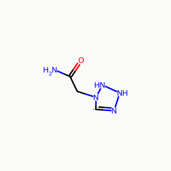 NC(=O)CN1[C]=NNN1